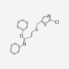 Clc1ncc(CS/C=C/C(=N/c2ccccc2)Oc2ccccc2)s1